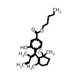 C=C/C(C)=C(\C1=C(C)CCCC1(C)C)c1ccc(C(=O)OCCCCC)cc1O